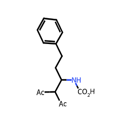 CC(=O)C(C(C)=O)C(CCc1ccccc1)NC(=O)O